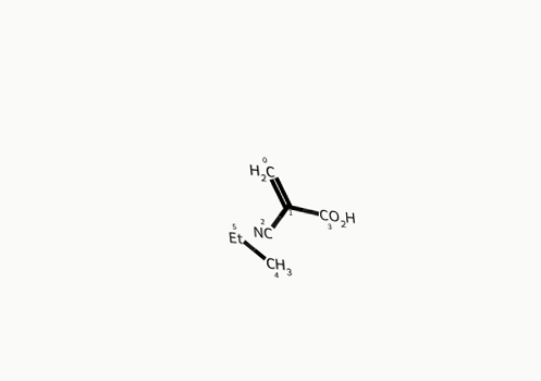 C=C(C#N)C(=O)O.CCC